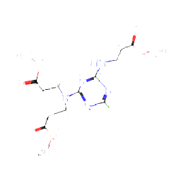 CC(C)(C)OC(=O)CCNc1nc(Cl)nc(N(CCC(=O)OC(C)(C)C)CCC(=O)OC(C)(C)C)n1